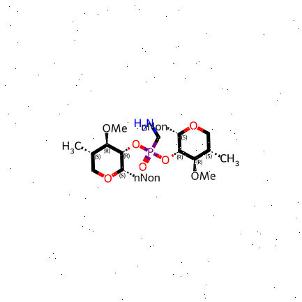 CCCCCCCCC[C@@H]1OC[C@H](C)[C@@H](OC)[C@@H]1OP(=O)(CN)O[C@H]1[C@H](OC)[C@@H](C)CO[C@H]1CCCCCCCCC